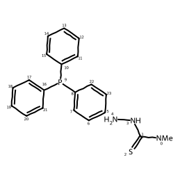 CNC(=S)NN.c1ccc(P(c2ccccc2)c2ccccc2)cc1